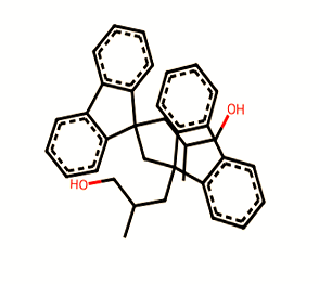 CC(CO)CC1(CC2(CC(C)CO)c3ccccc3-c3ccccc32)c2ccccc2-c2ccccc21